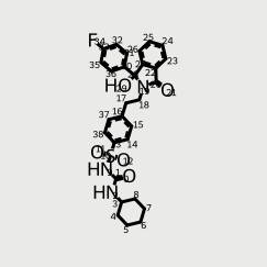 O=C(NC1CCCCC1)NS(=O)(=O)c1ccc(CCN2C(=O)c3ccccc3C2(O)c2ccc(F)cc2)cc1